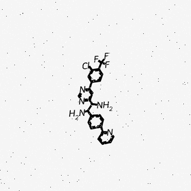 NC(c1ccc(-c2ccccn2)cc1)C(N)c1cc(-c2ccc(C(F)(F)F)c(Cl)c2)ncn1